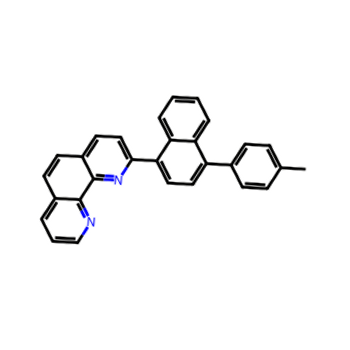 Cc1ccc(-c2ccc(-c3ccc4ccc5cccnc5c4n3)c3ccccc23)cc1